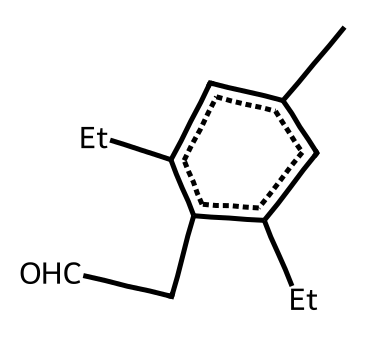 CCc1cc(C)cc(CC)c1CC=O